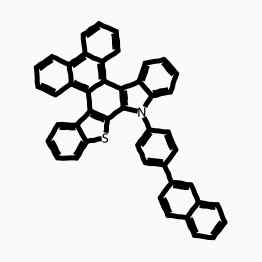 c1ccc2cc(-c3ccc(-n4c5ccccc5c5c6c7ccccc7c7ccccc7c6c6c7ccccc7sc6c54)cc3)ccc2c1